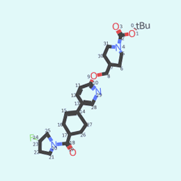 CC(C)(C)OC(=O)N1CCC(COc2ccc(C3=CCC(C(=O)N4CC[C@H](F)C4)CC3)cn2)CC1